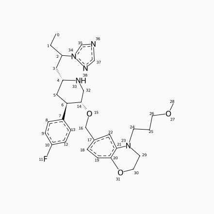 CCC(C[C@H]1C[C@H](c2ccc(F)cc2)[C@@H](OCc2ccc3c(c2)N(CCCOC)CCO3)CN1)n1cncn1